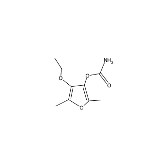 CCOc1c(C)oc(C)c1OC(N)=O